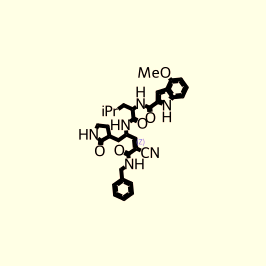 COc1cccc2[nH]c(C(=O)NC(CC(C)C)C(=O)NC(/C=C(/C#N)C(=O)NCc3ccccc3)CC3CCNC3=O)cc12